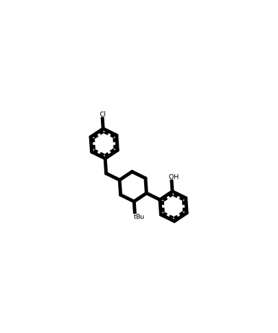 CC(C)(C)C1CC(Cc2ccc(Cl)cc2)CCC1c1ccccc1O